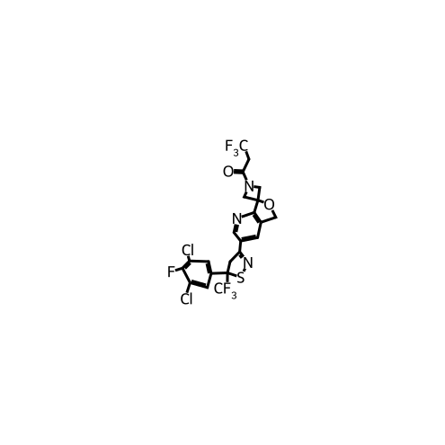 O=C(CC(F)(F)F)N1CC2(C1)OCc1cc(C3=NSC(c4cc(Cl)c(F)c(Cl)c4)(C(F)(F)F)C3)cnc12